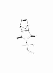 CC(C)CC(C)(C)N1C(=O)C2C3C=CC(C3)C2C1=O